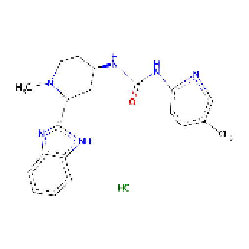 CN1CC[C@@H](NC(=O)Nc2ccc(C(F)(F)F)cn2)C[C@@H]1c1nc2ccccc2[nH]1.Cl